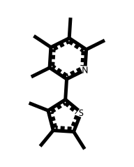 Cc1nc(-c2sc(C)c(C)c2C)c(C)c(C)c1C